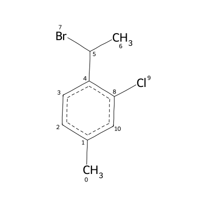 Cc1ccc(C(C)Br)c(Cl)c1